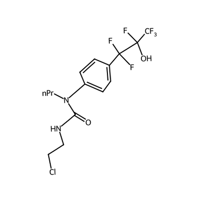 CCCN(C(=O)NCCCl)c1ccc(C(F)(F)C(O)(F)C(F)(F)F)cc1